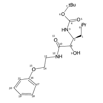 CC(C)C[C@H](NC(=O)OC(C)(C)C)C(O)C(=O)NCCOc1ccccc1